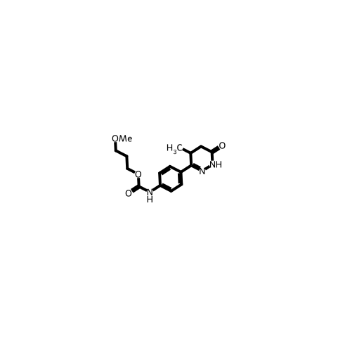 COCCCOC(=O)Nc1ccc(C2=NNC(=O)CC2C)cc1